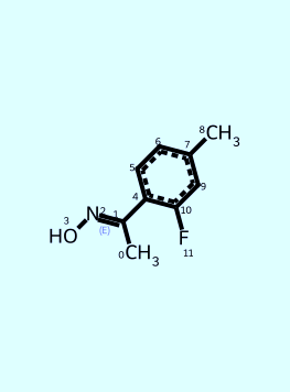 C/C(=N\O)c1ccc(C)cc1F